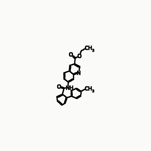 CCOC(=O)c1cnc2cc(NC(=O)c3ccccc3-c3ccc(C)cc3)ccc2c1